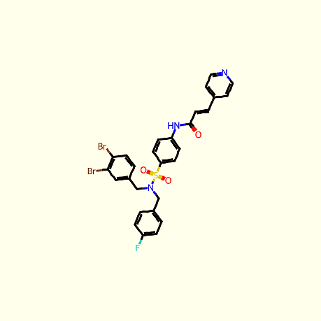 O=C(/C=C/c1ccncc1)Nc1ccc(S(=O)(=O)N(Cc2ccc(F)cc2)Cc2ccc(Br)c(Br)c2)cc1